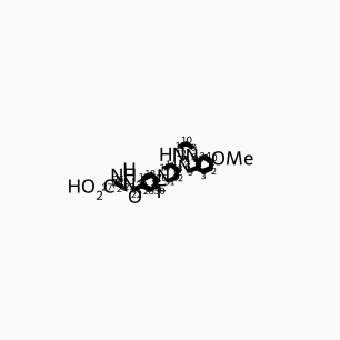 COc1ccc(CN(C2=NCCCN2)C2CCN(c3ccc(C(=O)NC[C@H](N)C(=O)O)cc3F)CC2)cc1